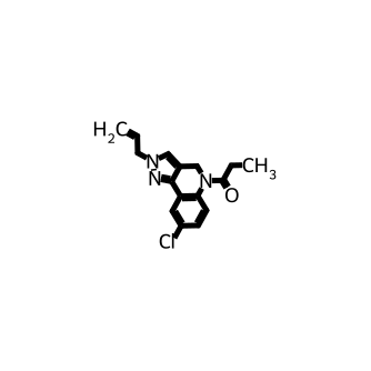 C=CCn1cc2c(n1)-c1cc(Cl)ccc1N(C(=O)CC)C2